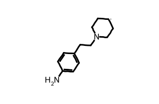 Nc1ccc(CCN2CC[CH]CC2)cc1